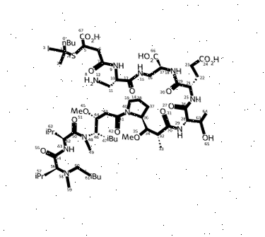 CCCCC(C)(I)SC(CC(=O)N[C@@H](CN)C(=O)NC[C@H](NC(=O)[C@H](CCC(=O)O)NC(=O)[C@@H](NC(=O)[C@H](C)C(OC)[C@@H]1CCCN1C(=O)C[C@@H](OC)[C@H]([C@@H](C)CC)N(C)C(=O)[C@@H](NC(=O)[C@H](C(C)C)N(C)CC(C)CC)C(C)C)C(C)O)C(=O)O)C(=O)O